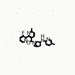 Cc1ccc(NC2CC3CC2N(C(=O)c2ccc(C)nc2-c2ncccc2F)C3)nc1